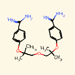 CC(C)(COCC(C)(C)Oc1ccc(C(=N)N)cc1)Oc1ccc(C(=N)N)cc1